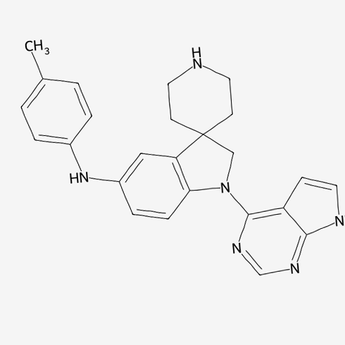 Cc1ccc(Nc2ccc3c(c2)C2(CCNCC2)CN3c2ncnc3[nH]ccc23)cc1